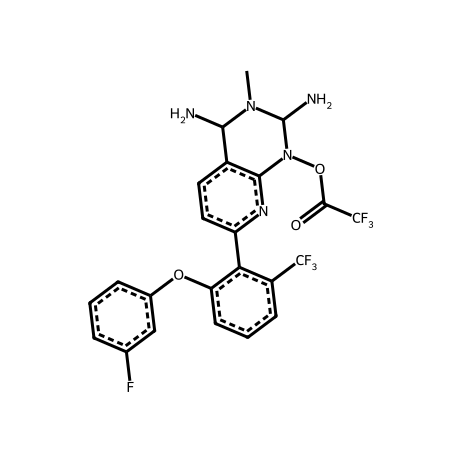 CN1C(N)c2ccc(-c3c(Oc4cccc(F)c4)cccc3C(F)(F)F)nc2N(OC(=O)C(F)(F)F)C1N